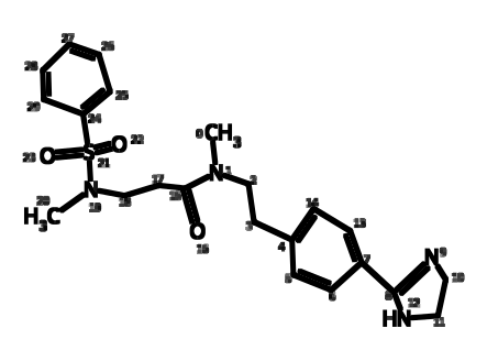 CN(CCc1ccc(C2=NCCN2)cc1)C(=O)CCN(C)S(=O)(=O)c1ccccc1